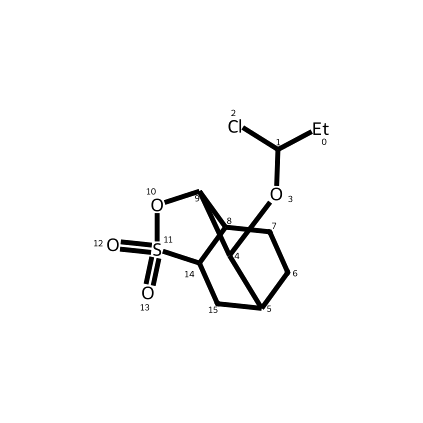 CCC(Cl)OC1C2CCC3C1OS(=O)(=O)C3C2